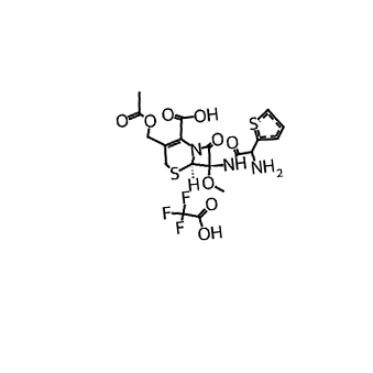 CO[C@@]1(NC(=O)C(N)c2cccs2)C(=O)N2C(C(=O)O)=C(COC(C)=O)CS[C@@H]21.O=C(O)C(F)(F)F